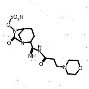 N=C(NC(=O)CCN1CCOCC1)C1CCC2CN1C(=O)N2OS(=O)(=O)O